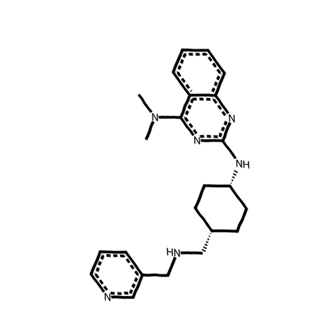 CN(C)c1nc(N[C@H]2CC[C@@H](CNCc3cccnc3)CC2)nc2ccccc12